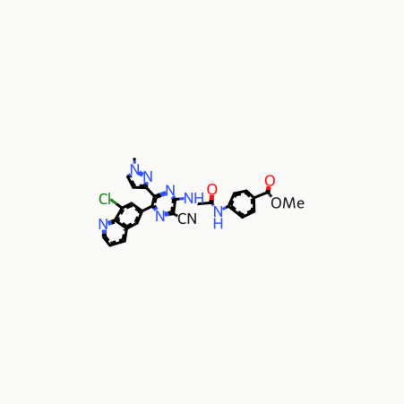 COC(=O)c1ccc(NC(=O)CNc2nc(-c3ccn(C)n3)c(-c3cc(Cl)c4ncccc4c3)nc2C#N)cc1